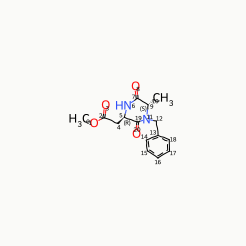 COC(=O)C[C@H]1NC(=O)[C@H](C)N(Cc2ccccc2)C1=O